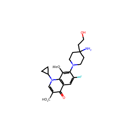 COc1c(N2CCC(N)(CCO)CC2)c(F)cc2c(=O)c(C(=O)O)cn(C3CC3)c12